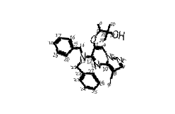 CC(Oc1cn2ncc(I)c2nc1N(Cc1ccccc1)Cc1ccccc1)C(C)(C)O